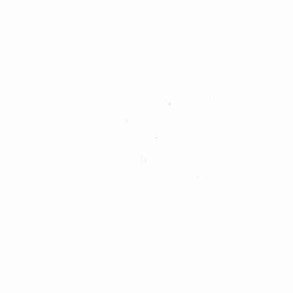 CC(Cc1cn(Cc2ccccc2Cl)c2ccccc12)=NO